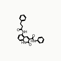 O=C(CCc1ccccc1)Nc1cccc2[nH]c(=O)c(C(=O)Nc3ccccc3)cc12